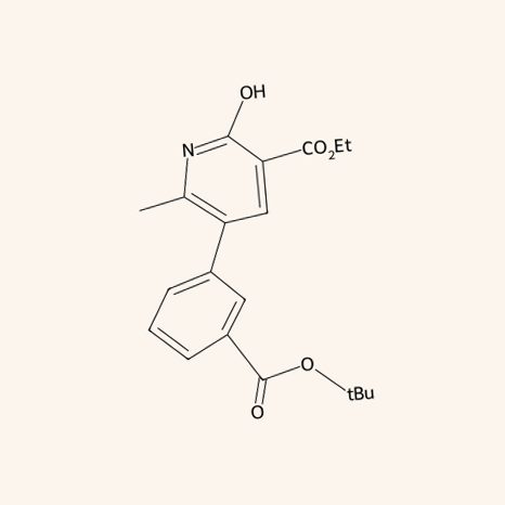 CCOC(=O)c1cc(-c2cccc(C(=O)OC(C)(C)C)c2)c(C)nc1O